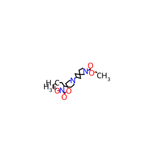 CCOC(=O)N1CCC2(CC(N3CCC4(CC3)OC(=O)N(OC)C4CC)C2)C1